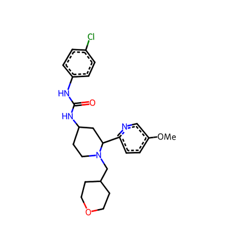 COc1ccc(C2CC(NC(=O)Nc3ccc(Cl)cc3)CCN2CC2CCOCC2)nc1